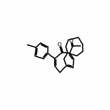 CC(=O)/C1=C/C=C(\CC2CCCCCC2)C/C=C(/c2ccc(C)cc2)C1=O